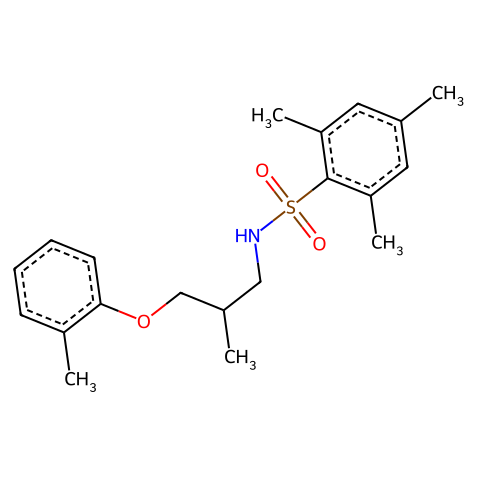 Cc1cc(C)c(S(=O)(=O)NCC(C)COc2ccccc2C)c(C)c1